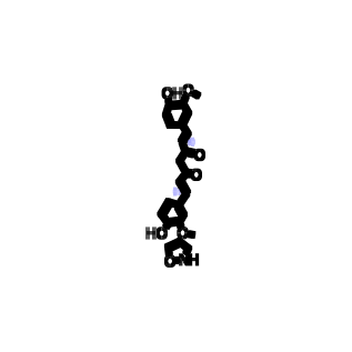 C1=CONC1.COc1cc(/C=C/C(=O)CC(=O)/C=C/c2ccc(O)c(OC)c2)ccc1O